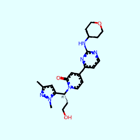 Cc1cc([C@@H](CCO)n2ccc(-c3ccnc(NC4CCOCC4)n3)cc2=O)n(C)n1